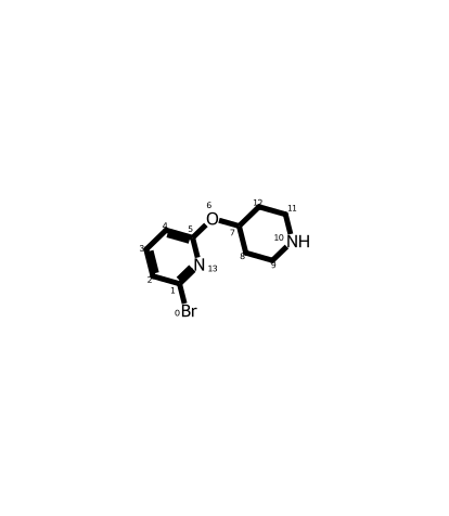 Brc1cccc(OC2CCNCC2)n1